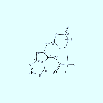 CC(C)(C)C(=O)On1c(CN2CCNC(=O)C2)cc2cnccc21